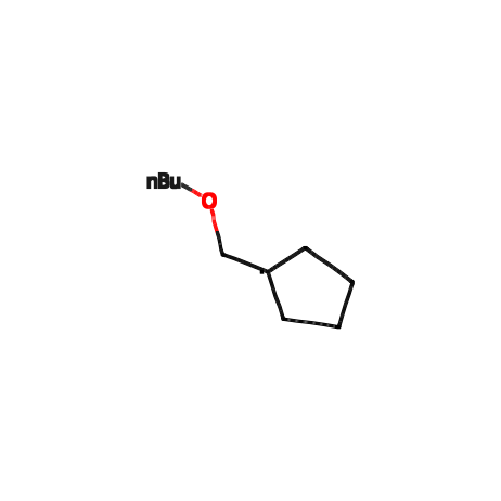 CCCCOC[C]1CCCC1